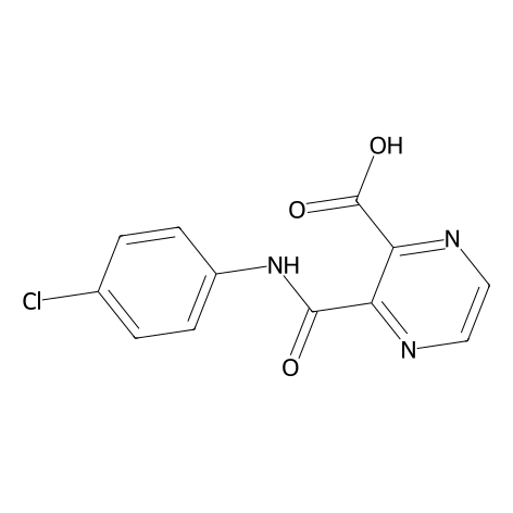 O=C(O)c1nccnc1C(=O)Nc1ccc(Cl)cc1